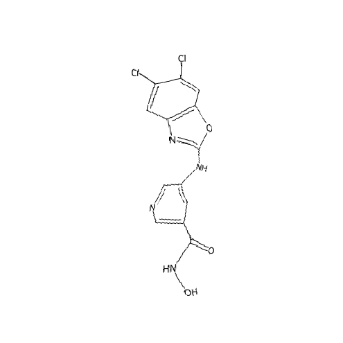 O=C(NO)c1cncc(Nc2nc3cc(Cl)c(Cl)cc3o2)c1